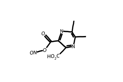 Cc1nc(C(=O)O)c(C(=O)ON=O)nc1C